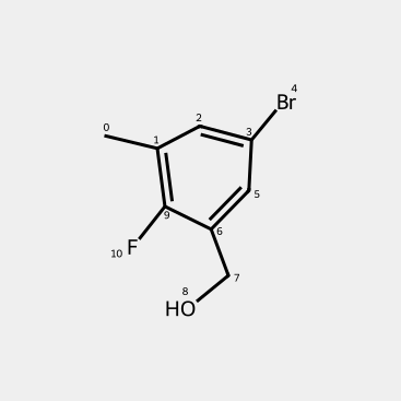 Cc1cc(Br)cc(CO)c1F